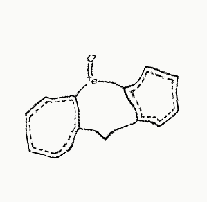 O=[Te]1c2ccccc2Cc2ccccc21